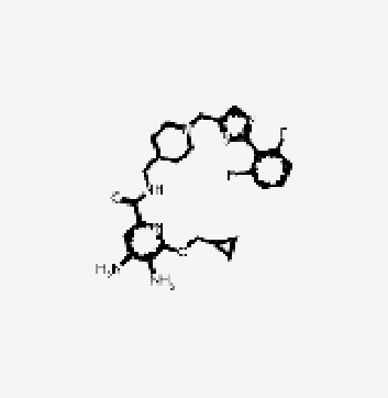 Nc1cc(C(=O)NCC2CCN(Cc3cnc(-c4c(F)cccc4F)s3)CC2)nc(OCC2CC2)c1N